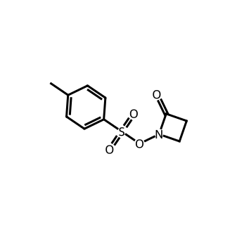 Cc1ccc(S(=O)(=O)ON2CCC2=O)cc1